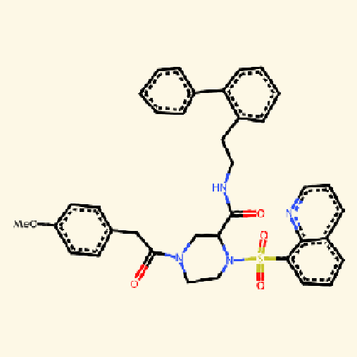 COc1ccc(CC(=O)N2CCN(S(=O)(=O)c3cccc4cccnc34)C(C(=O)NCCc3ccccc3-c3ccccc3)C2)cc1